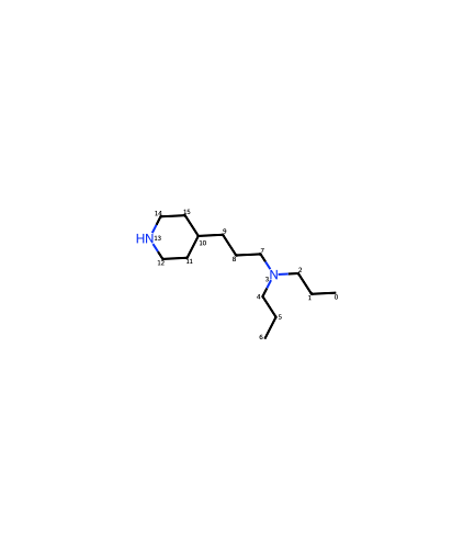 CCCN(CCC)CCCC1CCNCC1